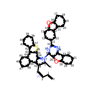 C=C/C=C\c1c(C)n(-c2nc(-c3ccc4oc5ccccc5c4c3)nc3c2oc2ccccc23)c2c3sc4ccccc4c3c3ccccc3c12